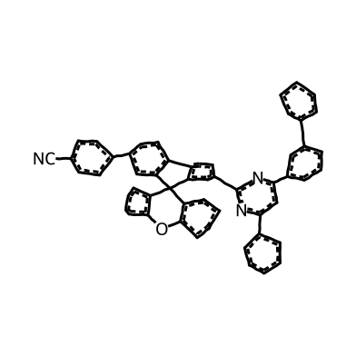 N#Cc1ccc(-c2ccc3c(c2)C2(c4ccccc4Oc4ccccc42)c2cc(-c4nc(-c5ccccc5)cc(-c5cccc(-c6ccccc6)c5)n4)ccc2-3)cc1